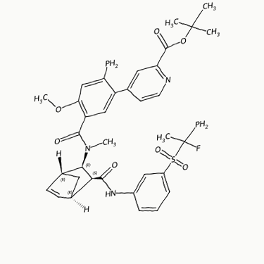 COc1cc(P)c(-c2ccnc(C(=O)OC(C)(C)C)c2)cc1C(=O)N(C)[C@H]1[C@@H](C(=O)Nc2cccc(S(=O)(=O)C(C)(F)P)c2)[C@H]2C=C[C@H]1C2